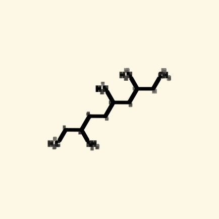 CCC(N)CCC(N)CC(N)CC